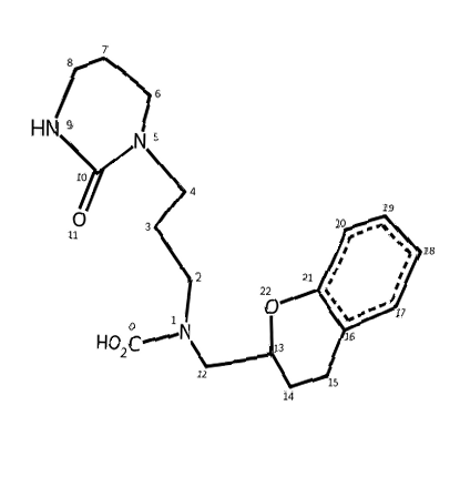 O=C(O)N(CCCN1CCCNC1=O)CC1CCc2ccccc2O1